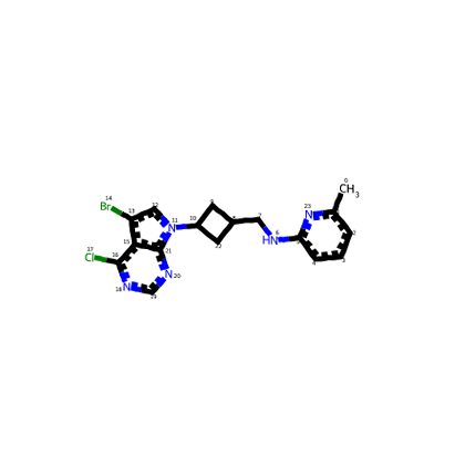 Cc1cccc(NCC2CC(n3cc(Br)c4c(Cl)ncnc43)C2)n1